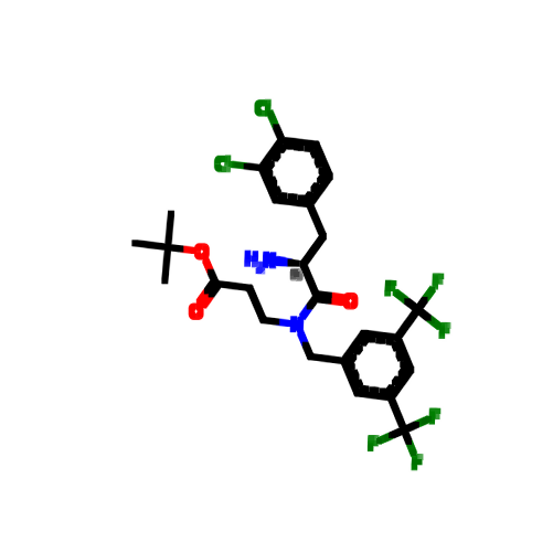 CC(C)(C)OC(=O)CCN(Cc1cc(C(F)(F)F)cc(C(F)(F)F)c1)C(=O)[C@@H](N)Cc1ccc(Cl)c(Cl)c1